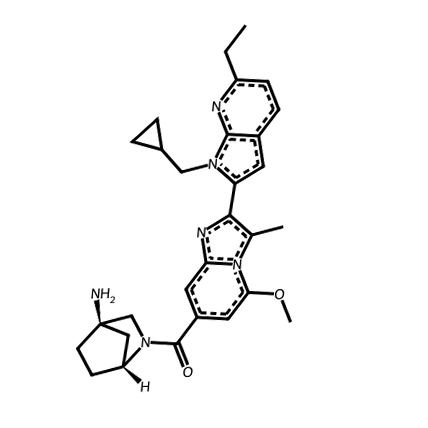 CCc1ccc2cc(-c3nc4cc(C(=O)N5C[C@@]6(N)CC[C@@H]5C6)cc(OC)n4c3C)n(CC3CC3)c2n1